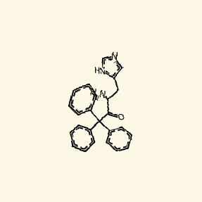 N[C@@H](Cc1cnc[nH]1)C(=O)C(c1ccccc1)(c1ccccc1)c1ccccc1